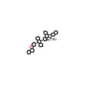 CC(C)(C)C1(C(C)(C)C)c2cc3ccccc3cc2-c2c1c1ccc(-c3c4ccccc4c(-c4ccc5oc6c7ccccc7ccc6c5c4)c4ccccc34)cc1c1ccccc21